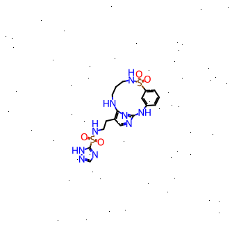 O=S1(=O)NCCCNc2nc(ncc2CCNS(=O)(=O)c2ncn[nH]2)Nc2cccc1c2